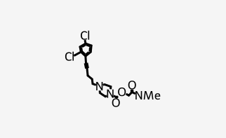 CNC(=O)COC(=O)N1CCN(CCCC#Cc2ccc(Cl)cc2Cl)CC1